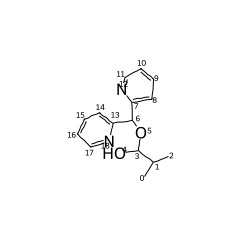 CC(C)C(O)OC(c1ccccn1)c1ccccn1